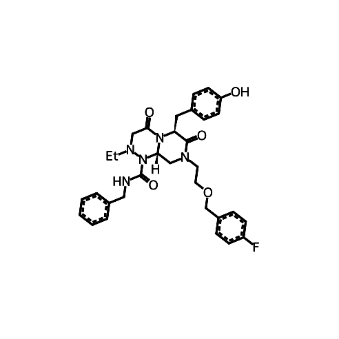 CCN1CC(=O)N2[C@@H](Cc3ccc(O)cc3)C(=O)N(CCOCc3ccc(F)cc3)C[C@@H]2N1C(=O)NCc1ccccc1